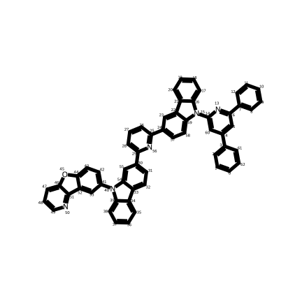 c1ccc(-c2cc(-c3ccccc3)nc(-n3c4ccccc4c4cc(-c5cccc(-c6ccc7c8ccccc8n(-c8ccc9oc%10cccnc%10c9c8)c7c6)n5)ccc43)c2)cc1